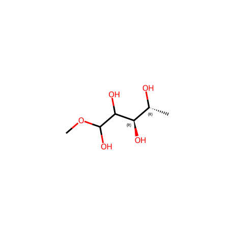 COC(O)C(O)[C@H](O)[C@@H](C)O